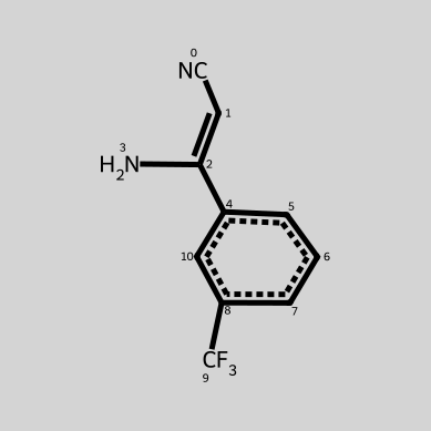 N#CC=C(N)c1cccc(C(F)(F)F)c1